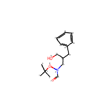 CC(C)(C)ON(C=O)CC(CO)Cc1ccccc1